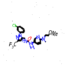 COCCN(C)c1ccc(NC(=O)NCc2cc(C(F)(F)F)nn2-c2cccc(Cl)c2)cn1